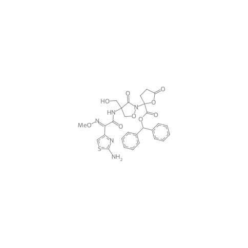 CON=C(C(=O)NC1(CO)CON(C2(C(=O)OC(c3ccccc3)c3ccccc3)CCC(=O)O2)C1=O)c1csc(N)n1